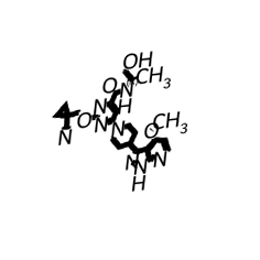 COc1ccnc2[nH]nc(C3CCN(c4cc(C(=O)N[C@H](C)CO)nc(OCC5(C#N)CC5)n4)CC3)c12